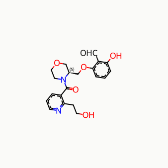 O=Cc1c(O)cccc1OC[C@@H]1COCCN1C(=O)c1cccnc1CCO